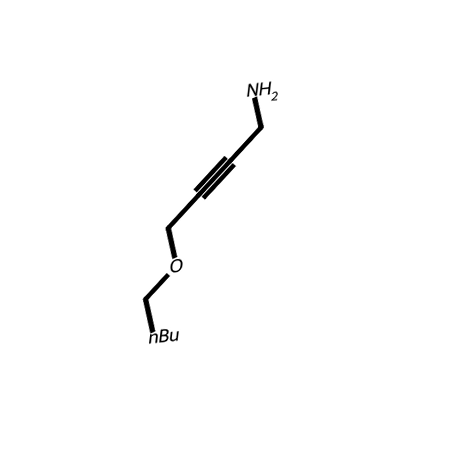 CCCCCOCC#CCN